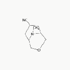 CN1C2COCC1CC(C#N)C2